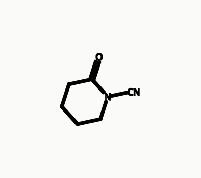 N#CN1CCCCC1=O